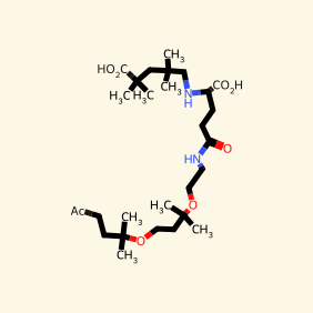 CC(=O)CCC(C)(C)OCCC(C)(C)OCCNC(=O)CCC(NCC(C)(C)CC(C)(C)C(=O)O)C(=O)O